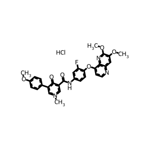 COc1ccc(-c2cn(C)cc(C(=O)Nc3ccc(Oc4ccnc5cc(OC)c(OC)nc45)c(F)c3)c2=O)cc1.Cl